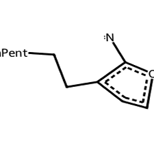 CCCCCCCc1ccoc1[N]